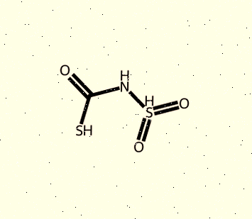 O=C(S)N[SH](=O)=O